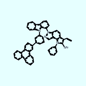 C=Cc1c(CCC)n(-c2ccccc2)c2c1ccc1c2cnn1-c1cccc2c3ccccc3n(-c3cccc(-c4ccc5c6ccccc6c6ccccc6c5c4)c3)c12